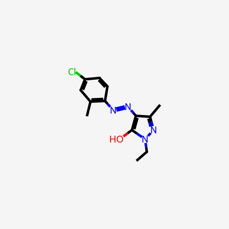 CCn1nc(C)c(N=Nc2ccc(Cl)cc2C)c1O